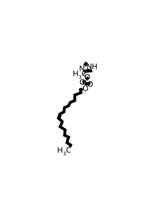 CCCCCCCC/C=C\CCCCCCCCOS(=O)(=O)OC.c1c[nH]cn1